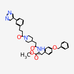 COC(=O)[C@H](Cc1ccc(OCc2ccccc2)cc1)NC(=O)CC1CCN(C(=O)CCc2cccc(-c3cncnc3)c2)CC1